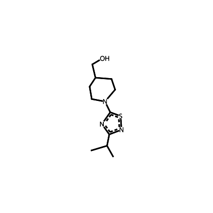 CC(C)c1nsc(N2CCC(CO)CC2)n1